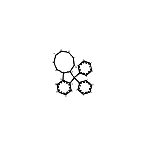 c1ccc(C2(c3ccccc3)c3ccccc3C3CCCCCCCC32)cc1